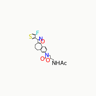 CC(=O)NCC1CN(c2ccc3c(c2)CCCc2c(-c4cscc4F)noc2-3)C(=O)O1